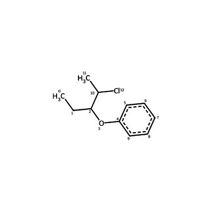 CCC(Oc1ccccc1)C(C)Cl